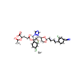 CC(=O)OC(CCC(=O)O[C@@](Cn1cncn1)(c1ccc(F)cc1F)[C@@H](C)S[C@H]1CO[C@H](/C=C/C=C/c2ccc(C#N)cc2F)OC1)C(=O)[O-].[Na+]